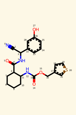 N#CC(NC(=O)C1CCCCC1NC(=O)OCc1ccsc1)c1cccc(O)c1